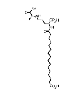 O=C(O)CCCCCCCCCCCCCCC(=O)N[C@@H](CCCN[C@@H](I)C(=O)S)C(=O)O